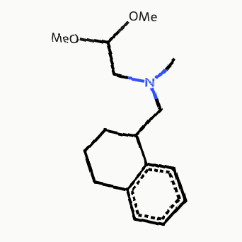 COC(CN(C)CC1CCCc2ccccc21)OC